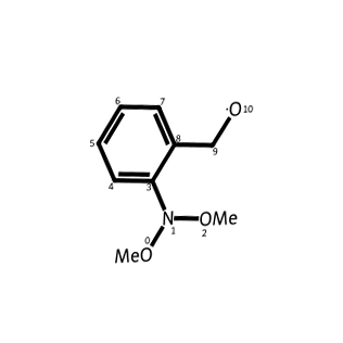 CON(OC)c1ccccc1C[O]